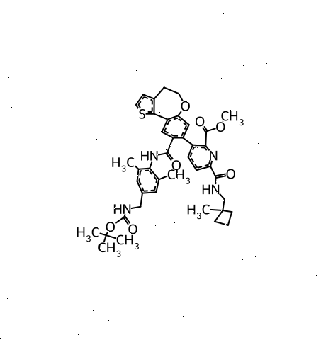 COC(=O)c1nc(C(=O)NCC2(C)CCC2)ccc1-c1cc2c(cc1C(=O)Nc1c(C)cc(CNC(=O)OC(C)(C)C)cc1C)-c1sccc1CCO2